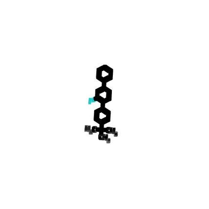 CC(C)(C)c1ccc(-c2ccc(-c3ccccc3)cc2F)cc1